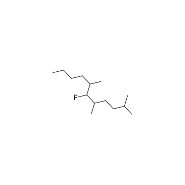 CCCCC(C)C(F)C(C)CCC(C)C